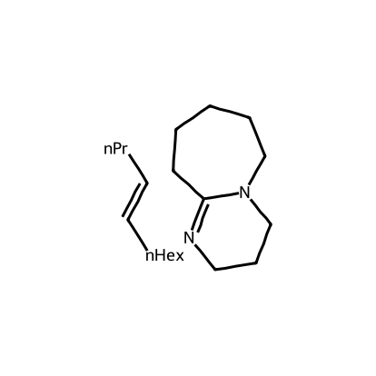 C1CCC2=NCCCN2CC1.CCCC=CCCCCCC